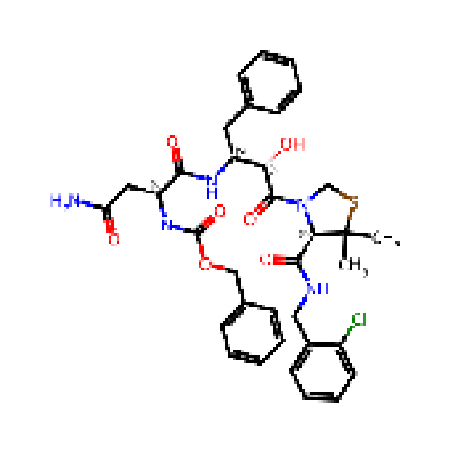 CC1(C)SCN(C(=O)[C@@H](O)[C@H](Cc2ccccc2)NC(=O)[C@H](CC(N)=O)NC(=O)OCc2ccccc2)[C@@H]1C(=O)NCc1ccccc1Cl